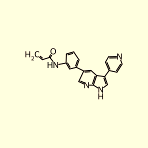 C=CC(=O)Nc1cccc(-c2cnc3[nH]cc(-c4ccncc4)c3c2)c1